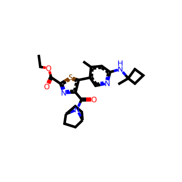 CCOC(=O)c1nc(C(=O)N2C3CCC2CC3)c(-c2cnc(NC3(C)CCC3)cc2C)s1